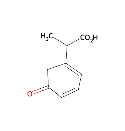 CC(C(=O)O)C1=CC=CC(=O)C1